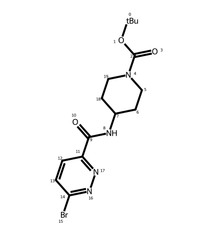 CC(C)(C)OC(=O)N1CCC(NC(=O)c2ccc(Br)nn2)CC1